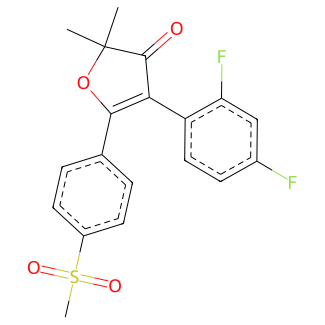 CC1(C)OC(c2ccc(S(C)(=O)=O)cc2)=C(c2ccc(F)cc2F)C1=O